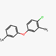 Cc1cc(Oc2cc[c]c([N+](=O)[O-])c2)ccc1Cl